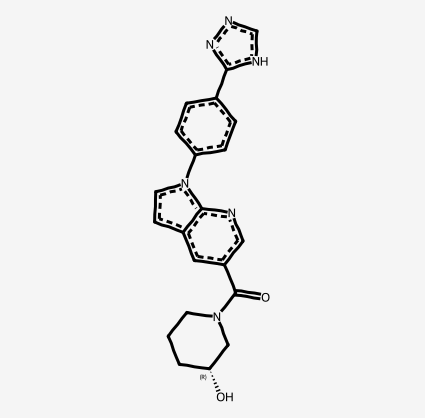 O=C(c1cnc2c(ccn2-c2ccc(-c3nnc[nH]3)cc2)c1)N1CCC[C@@H](O)C1